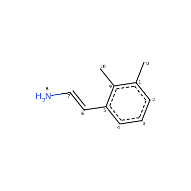 Cc1cccc(C=CN)c1C